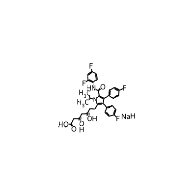 CC(C)n1c(CC[C@@H](O)C[C@@H](O)CC(=O)O)c(-c2ccc(F)cc2)c(-c2ccc(F)cc2)c1C(=O)Nc1ccc(F)cc1F.[NaH]